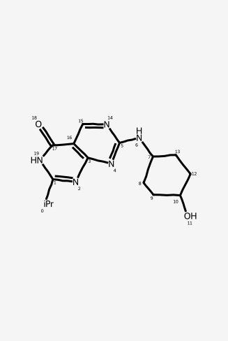 CC(C)c1nc2nc(NC3CCC(O)CC3)ncc2c(=O)[nH]1